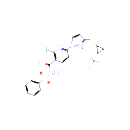 O=C(NS(=O)(=O)c1ccccc1)c1ccc(-n2ccc(OC3C[C@@H]3C(F)(F)F)n2)nc1Cl